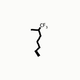 C=CCCCC(C)C(F)(F)F